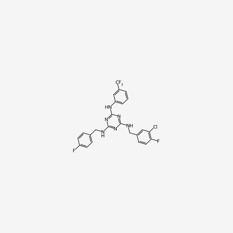 Fc1ccc(CNc2nc(NCc3ccc(F)c(Cl)c3)nc(Nc3cccc(C(F)(F)F)c3)n2)cc1